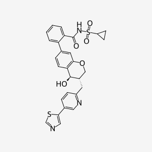 O=C(NS(=O)(=O)C1CC1)c1ccccc1-c1ccc2c(c1)OC[C@H](Cc1ccc(-c3cncs3)cn1)[C@H]2O